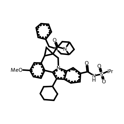 COc1ccc2c(c1)C1CC1(C(=O)N1C3CC1CN(Cc1ccccc1)C3)Cn1c-2c(C2CCCCC2)c2ccc(C(=O)NS(=O)(=O)C(C)C)cc21